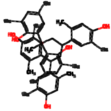 Cc1cc(O)c(C(C)(C)C)cc1C(CC(c1cc(C(C)(C)C)c(O)cc1C)c1cc(C(C)(C)C)c(O)cc1C)CC(C)(c1cc(C(C)(C)C)cc(C(C)(C)C)c1O)c1cc(C(C)(C)C)cc(C(C)(C)C)c1O